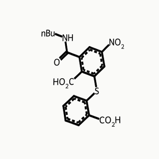 CCCCNC(=O)c1cc([N+](=O)[O-])cc(Sc2ccccc2C(=O)O)c1C(=O)O